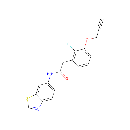 C#CCOc1cccc(CC(=O)Nc2ccc3ncsc3c2)c1F